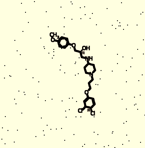 COc1ccc(OC[C@H](O)CNC2CCN(CCCOC3=CC(Cl)[C@H](Cl)C=C3)CC2)cc1